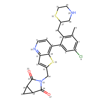 Cc1cc(Cl)cc(-c2ccnc3cc(CN4C(=O)C5CC5C4=O)sc23)c1CC1CNCCS1